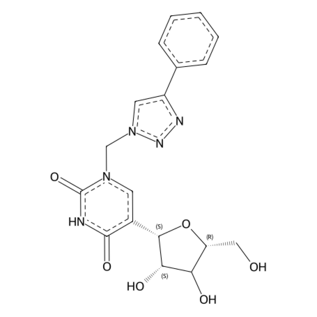 O=c1[nH]c(=O)n(Cn2cc(-c3ccccc3)nn2)cc1[C@@H]1O[C@H](CO)C(O)[C@@H]1O